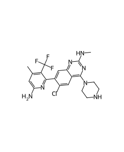 CNc1nc(N2CCNCC2)c2cc(Cl)c(-c3nc(N)cc(C)c3C(F)(F)F)cc2n1